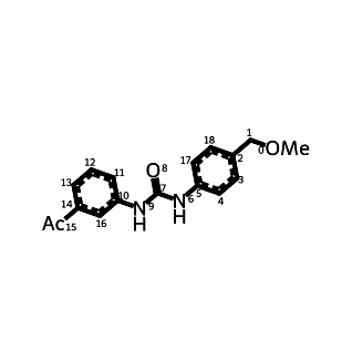 COCc1ccc(NC(=O)Nc2cccc(C(C)=O)c2)cc1